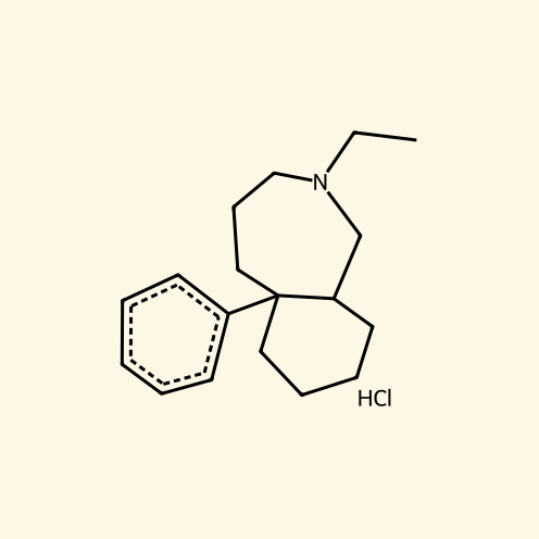 CCN1CCCC2(c3ccccc3)CCCCC2C1.Cl